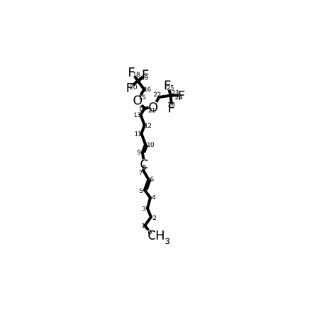 CCCCCC=CCCC=CCCCC(OCC(F)(F)F)OCC(F)(F)F